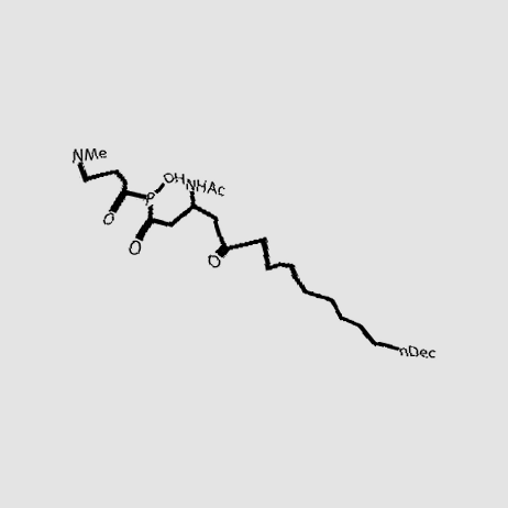 CCCCCCCCCCCCCCCCCCC(=O)CC(CC(=O)P(O)C(=O)CCNC)NC(C)=O